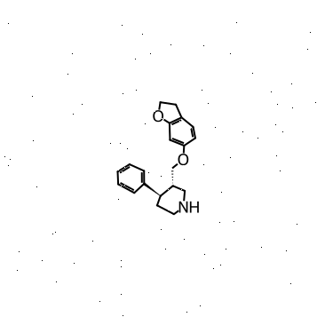 c1ccc([C@@H]2CCNC[C@H]2COc2ccc3c(c2)OCC3)cc1